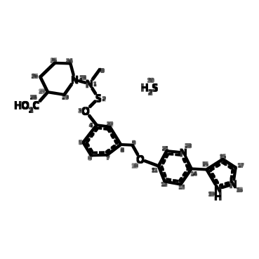 CN(SOc1cccc(COc2ccc(-c3ccn[nH]3)nc2)c1)N1CCCC(C(=O)O)C1.S